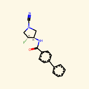 N#CN1C[C@@H](F)[C@H](NC(=O)c2ccc(-c3ccccc3)cc2)C1